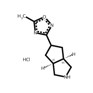 Cc1nc(C2C[C@H]3CNC[C@H]3C2)no1.Cl